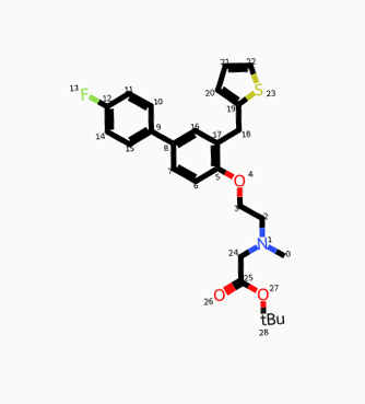 CN(CCOc1ccc(-c2ccc(F)cc2)cc1Cc1cccs1)CC(=O)OC(C)(C)C